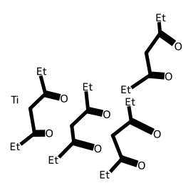 CCC(=O)CC(=O)CC.CCC(=O)CC(=O)CC.CCC(=O)CC(=O)CC.CCC(=O)CC(=O)CC.[Ti]